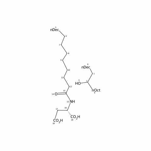 CCCCCCCCCCCC(O)CCCCCCCC.CCCCCCCCCCCCCCCCCC(=O)N[C@@H](CC(=O)O)C(=O)O